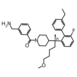 CCc1cccc(-c2c(F)cccc2[C@](C)(CCCCOC)C2CCN(C(=O)c3cccc(CN)c3)CC2)c1